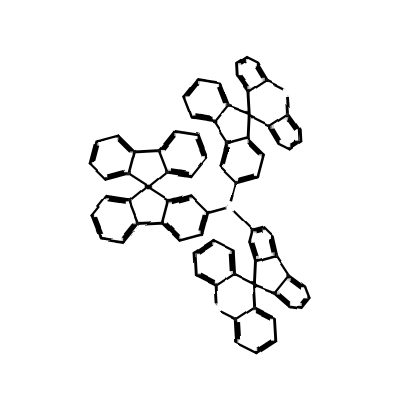 c1ccc2c(c1)Oc1ccccc1C21c2ccccc2-c2ccc(N(c3ccc4c(c3)-c3ccccc3C43c4ccccc4Sc4ccccc43)c3ccc4c(c3)C3(c5ccccc5-c5ccccc53)c3ccccc3-4)cc21